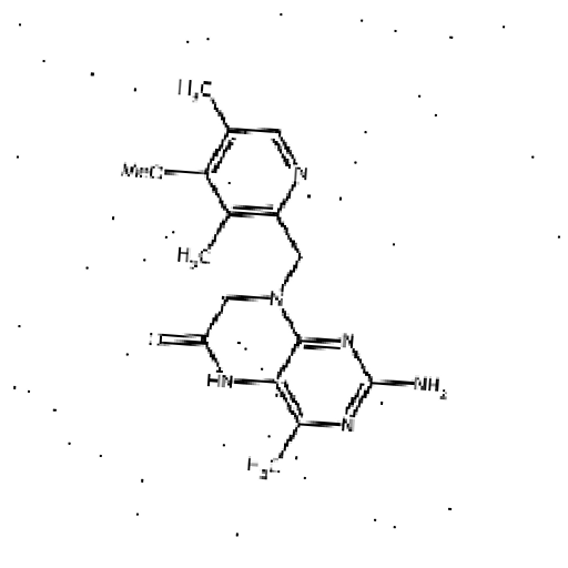 COc1c(C)cnc(CN2[CH]C(=O)Nc3c(C)nc(N)nc32)c1C